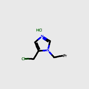 CC(C)Cn1cncc1CCl.Cl